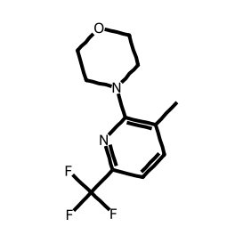 Cc1ccc(C(F)(F)F)nc1N1CCOCC1